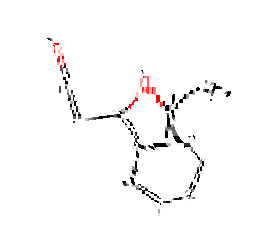 Cc1oc(C=C=O)c2ccccc12